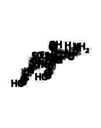 CCOc1cc(/N=N/c2ccc(/N=N/c3cccc(SOOO)c3)c3ccc(S(=O)(=O)O)cc23)c2cc(SOOO)ccc2c1N/N=C1\C(=O)c2ccc(NC(=O)c3cccc(N)c3)cc2C=C1SOOO